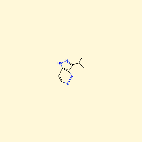 CC(C)c1n[nH]c2ccnnc12